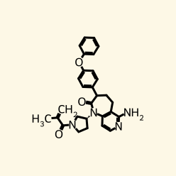 C=C(C)C(=O)N1CC[C@@H](N2C(=O)C(c3ccc(Oc4ccccc4)cc3)CCc3c2ccnc3N)C1